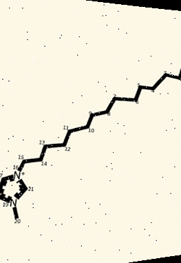 CC(C)CCCCCCCCCCCCC[n+]1ccn(C)c1